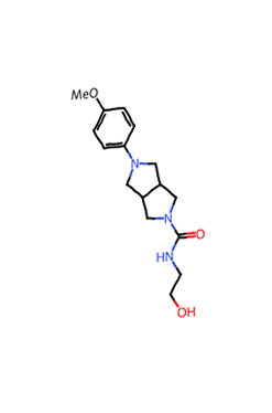 COc1ccc(N2CC3CN(C(=O)NCCO)CC3C2)cc1